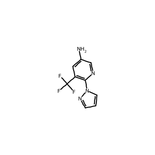 Nc1cnc(-n2cccn2)c(C(F)(F)F)c1